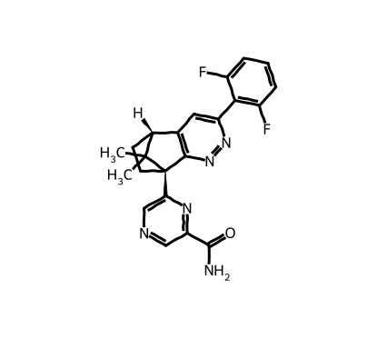 CC1(C)[C@@H]2CC[C@@]1(c1cncc(C(N)=O)n1)c1nnc(-c3c(F)cccc3F)cc12